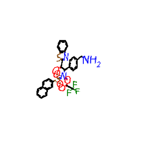 NCc1ccc(C(C(=O)c2nc3ccccc3s2)N(OC(=O)C(F)(F)F)S(=O)(=O)c2ccc3ccccc3c2)cc1